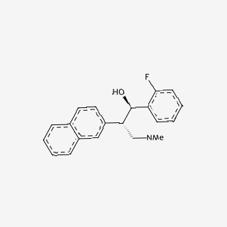 CNC[C@H](c1ccc2ccccc2c1)[C@@H](O)c1ccccc1F